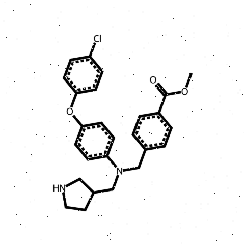 COC(=O)c1ccc(CN(CC2CCNC2)c2ccc(Oc3ccc(Cl)cc3)cc2)cc1